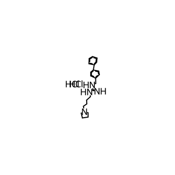 Cl.Cl.N=C(NCCCCN1CCCC1)NCc1ccc(-c2ccccc2)cc1